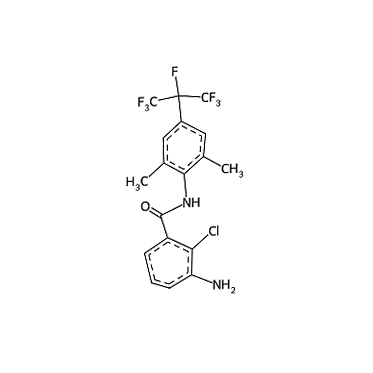 Cc1cc(C(F)(C(F)(F)F)C(F)(F)F)cc(C)c1NC(=O)c1cccc(N)c1Cl